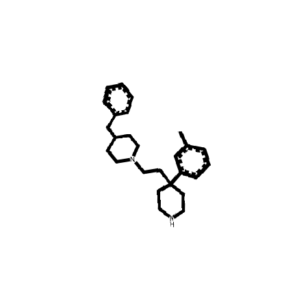 Cc1cccc(C2(CCN3CCC(Cc4ccccc4)CC3)CCNCC2)c1